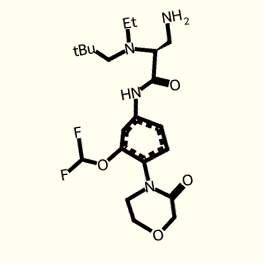 CCN(CC(C)(C)C)[C@@H](CN)C(=O)Nc1ccc(N2CCOCC2=O)c(OC(F)F)c1